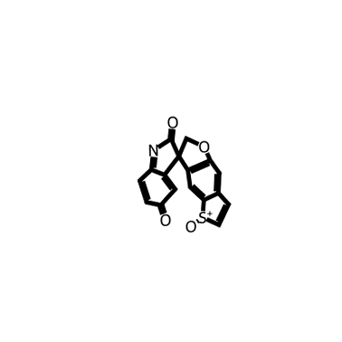 O=C1C=CC2=NC(=O)C3(COc4cc5cc[s+]([O-])c5cc43)C2=C1